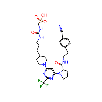 N#Cc1ccc(CCNC(=O)[C@@H]2CCCN2c2cc(N3CCC(CCCNC(=O)NCS(=O)(=O)O)CC3)nc(C(F)(F)F)n2)cc1